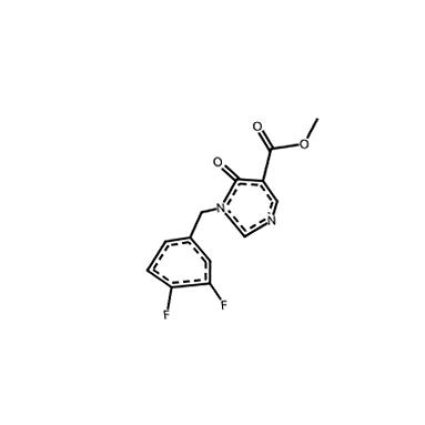 COC(=O)c1cncn(Cc2ccc(F)c(F)c2)c1=O